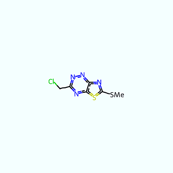 CSc1nc2nnc(CCl)nc2s1